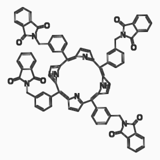 O=C1c2ccccc2C(=O)N1Cc1cccc(-c2c3nc(c(-c4cccc(CN5C(=O)c6ccccc6C5=O)c4)c4ccc([nH]4)c(-c4cccc(CN5C(=O)c6ccccc6C5=O)c4)c4nc(c(-c5cccc(CN6C(=O)c7ccccc7C6=O)c5)c5ccc2[nH]5)C=C4)C=C3)c1